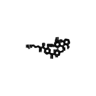 COc1cc(Nc2ncc3c(n2)-c2ccc(Cl)cc2C(c2c(F)cccc2OC)=NC3)ccc1C(=O)NCCCN